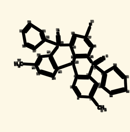 Cc1ccc2c(c1)P(=S)(c1ccccc1)c1cc(F)cc3c1N2c1ccc(C)cc1P3(=S)c1ccccc1